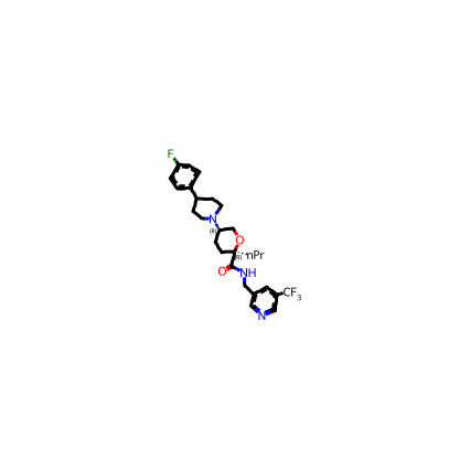 CCC[C@]1(C(=O)NCc2cncc(C(F)(F)F)c2)CC[C@@H](N2CCC(c3ccc(F)cc3)CC2)CO1